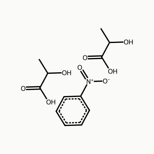 CC(O)C(=O)O.CC(O)C(=O)O.O=[N+]([O-])c1ccccc1